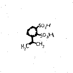 C=C(C)c1cccc(S(=O)(=O)O)c1S(=O)(=O)O